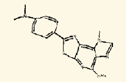 CNc1nc2sc(-c3ccc(N(C)C)cc3)nc2c2c1ncn2C